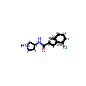 O=C(NC1CCNC1)c1cc2c(Cl)cccc2s1